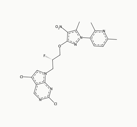 Cc1ccc(-n2nc(OC[C@@H](F)Cn3cc(Cl)c4cnc(Cl)nc43)c([N+](=O)[O-])c2C)c(C)n1